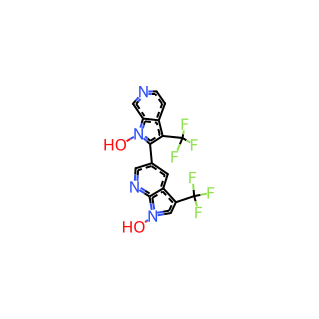 On1cc(C(F)(F)F)c2cc(-c3c(C(F)(F)F)c4ccncc4n3O)cnc21